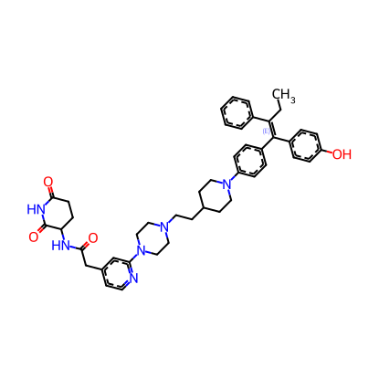 CC/C(=C(\c1ccc(O)cc1)c1ccc(N2CCC(CCN3CCN(c4cc(CC(=O)NC5CCC(=O)NC5=O)ccn4)CC3)CC2)cc1)c1ccccc1